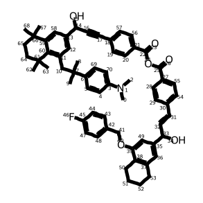 CN(C)c1ccc(C(C)(C)Cc2cc(C(O)C#Cc3ccc(C(=O)OC(=O)c4ccc(C=CC(O)c5cc6c(c(OCc7ccc(F)cc7)c5)CCCC6)cc4)cc3)cc3c2C(C)(C)CCC3(C)C)cc1